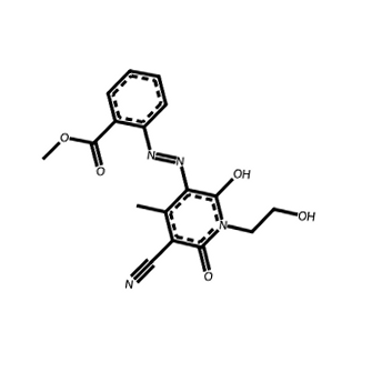 COC(=O)c1ccccc1/N=N/c1c(C)c(C#N)c(=O)n(CCO)c1O